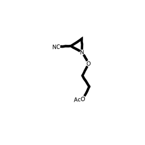 CC(=O)OCCON1CC1C#N